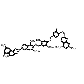 COc1cc(N=Nc2c(S(=O)(=O)O)cc3cc(-n4nc5ccc6c(S(=O)(=O)O)cc(S(=O)(=O)O)cc6c5n4)ccc3c2OC)c(O)cc1N=Nc1ccc(/N=N\c2ccc3c(S(=O)(=O)O)cc(S(=O)(=O)O)cc3c2)c(C)c1